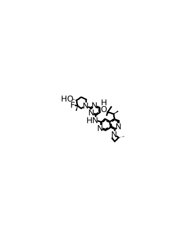 C[C@@H]1CCN1c1ncc([C@H](C)C(C)(C)O)c2cc(Nc3ccnc(N4CC[C@@H](O)[C@@](C)(F)C4)n3)ncc12